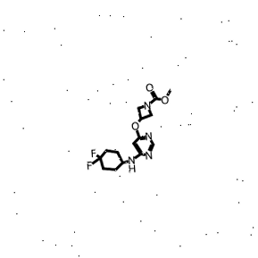 COC(=O)N1CC(Oc2cc(NC3CCC(F)(F)CC3)ncn2)C1